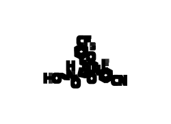 N#Cc1ccc(N2CC(=O)N(Cc3ccc(C(F)(F)F)cc3)[C@]3(C[C@@H](C(=O)NCCO)C3)C2=O)c(F)c1